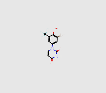 COc1c(Br)cc(-n2ccc(=O)[nH]c2=O)cc1C(F)(F)F